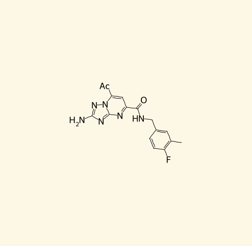 CC(=O)c1cc(C(=O)NCc2ccc(F)c(C)c2)nc2nc(N)nn12